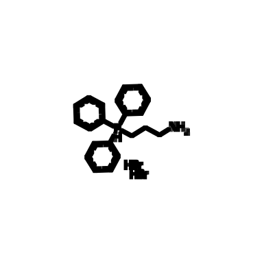 Br.Br.NCCC[PH](c1ccccc1)(c1ccccc1)c1ccccc1